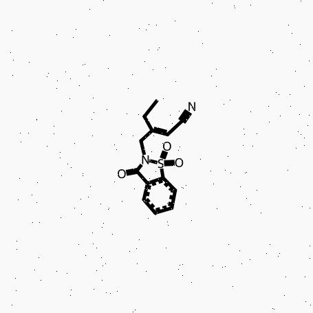 CCC(=CC#N)CN1C(=O)c2ccccc2S1(=O)=O